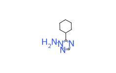 Nn1ncnc1C1CCCCC1